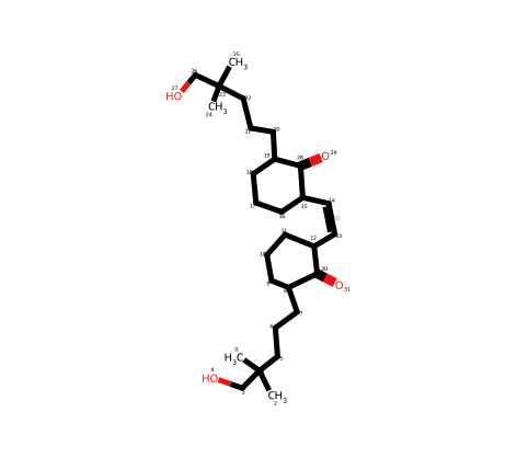 CC(C)(CO)CCCC1CCCC(/C=C\C2CCCC(CCCC(C)(C)CO)C2=O)C1=O